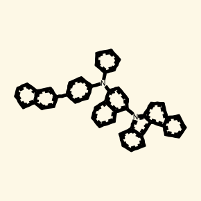 c1ccc(N(c2ccc(-c3ccc4ccccc4c3)cc2)c2ccc(-n3c4ccccc4c4c5ccccc5ccc43)c3ccccc23)cc1